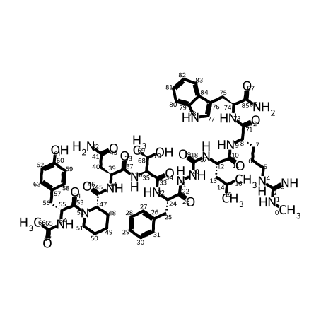 CNC(=N)NCCC[C@H](NC(=O)[C@H](CC(C)C)NC(=O)NNC(=O)[C@H](Cc1ccccc1)NC(=O)[C@@H](NC(=O)[C@H](CC(N)=O)NC(=O)[C@@H]1CCCCN1C(=O)[C@@H](Cc1ccc(O)cc1)NC(C)=O)[C@@H](C)O)C(=O)N[C@@H](Cc1c[nH]c2ccccc12)C(N)=O